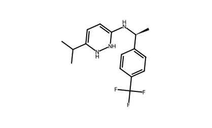 CC(C)C1=CC=C(N[C@@H](C)c2ccc(C(F)(F)F)cc2)NN1